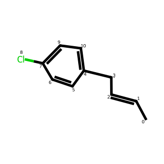 C/C=C/[CH]c1ccc(Cl)cc1